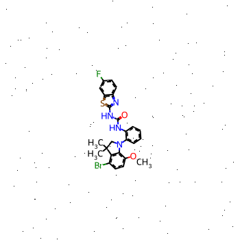 COc1ccc(Br)c2c1N(c1ccccc1NC(=O)Nc1nc3ccc(F)cc3s1)CC2(C)C